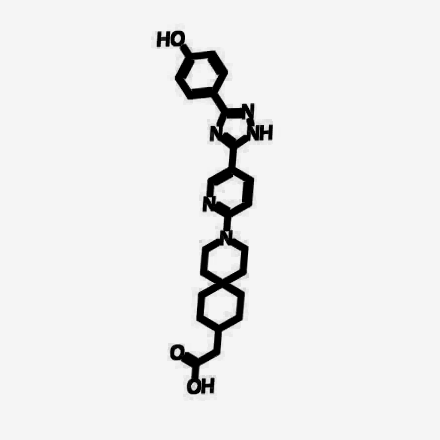 O=C(O)CC1CCC2(CC1)CCN(c1ccc(-c3nc(-c4ccc(O)cc4)n[nH]3)cn1)CC2